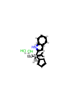 C[C](C)=[Zr]([C]1=CC=CC1)([c]1cc2ccccc2[nH]1)([C](C)(C)C)[C](C)(C)C.Cl.Cl